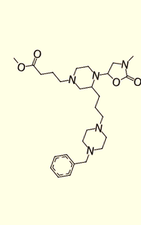 COC(=O)CCCN1CCN(C2CN(C)C(=O)O2)C(CCCN2CCN(Cc3ccccc3)CC2)C1